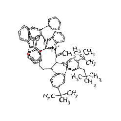 C=C1C2C(CCc3ccc4c(oc5ccccc54)c3-c3n(-c4c(-c5ccccc5)cccc4-c4ccccc4)c4ccccc4[n+]31)c1ccc(C(C)(C)C)cc1-c1cc(CC(C)(C)C)c([Si](C)(C)C)c[n+]12